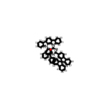 C1=CC(C2C=CC(n3c4ccccc4c4ccc5c6ccccc6n(-c6nc(-c7ccccc7)nc(-c7ccc8c(c7)C7(c9ccccc9-c9ccccc97)c7ccccc7-8)n6)c5c43)=CC2)=CCC1